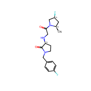 N#C[C@@H]1C[C@H](F)CN1C(=O)CN[C@H]1CCN(Cc2ccc(F)cc2)C1=O